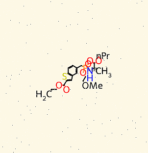 C=CCOC(=O)c1cc2cc(CP(=O)(N[C@@H](C)C(=O)OCCC)OCCOC)ccc2s1